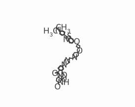 CN(C)c1ccc(-c2nc3ccc(O[C@H]4C[C@H](OC5CCN(CCN6CCN(c7ccc8c(c7)C(=O)N(C7CCC(=O)NC7=O)C8=O)CC6)CC5)C4)cc3s2)cc1